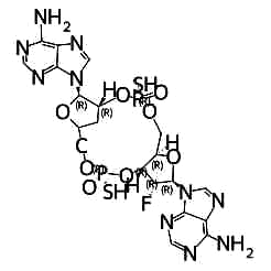 Nc1ncnc2c1ncn2[C@@H]1O[C@@H]2CO[P@@](=O)(S)O[C@@H]3CC(CO[P@@](=O)(S)O[C@H]2[C@H]1F)O[C@H]3n1cnc2c(N)ncnc21